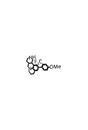 COc1ccc(-c2cc3c4c(c2)C2CNCCC2CN4CCC3)c(C(F)(F)F)c1